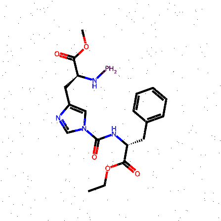 CCOC(=O)[C@@H](Cc1ccccc1)NC(=O)n1cnc(C[C@H](NP)C(=O)OC)c1